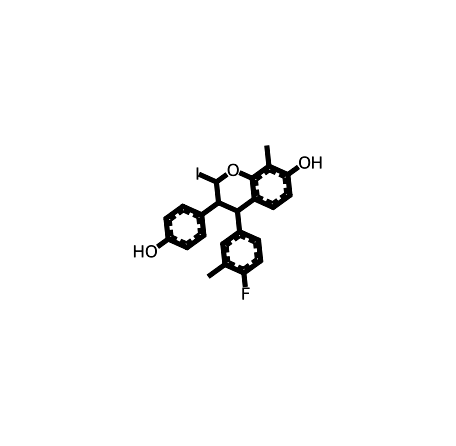 Cc1cc(C2c3ccc(O)c(C)c3OC(I)C2c2ccc(O)cc2)ccc1F